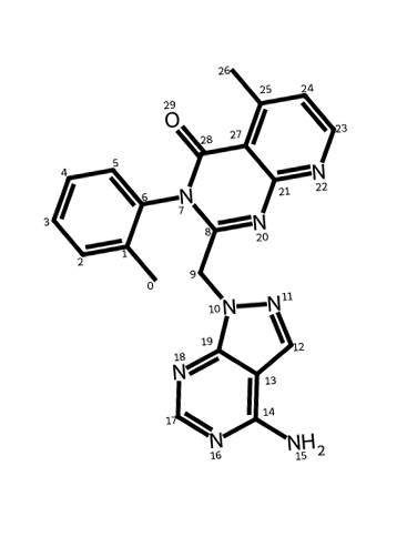 Cc1ccccc1-n1c(Cn2ncc3c(N)ncnc32)nc2nccc(C)c2c1=O